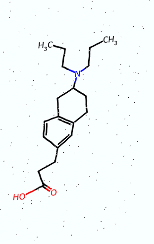 CCCN(CCC)C1CCc2cc(CCC(=O)O)ccc2C1